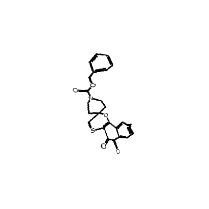 O=C1C(=O)c2ccccc2C2=C1SCC1(CCN(C(=O)OCc3ccccc3)CC1)O2